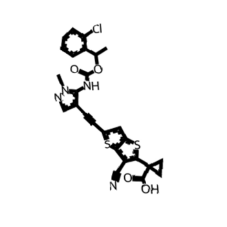 CC(OC(=O)Nc1c(C#Cc2cc3sc(C4(C(=O)O)CC4)c(C#N)c3s2)cnn1C)c1ccccc1Cl